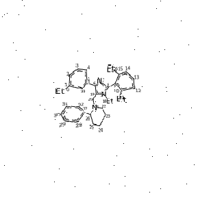 CCc1cccc(-c2nc(-c3c(CC)cccc3CC)n(CC)c2CN2CCCCC2c2ccccc2)c1